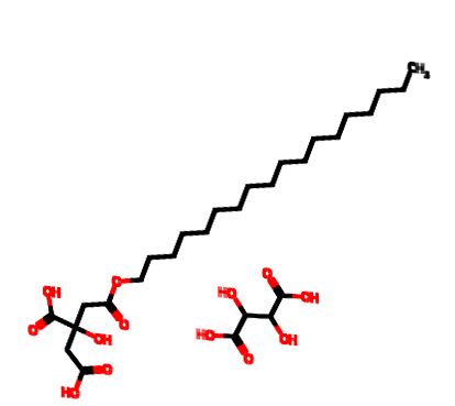 CCCCCCCCCCCCCCCCCCOC(=O)CC(O)(CC(=O)O)C(=O)O.O=C(O)C(O)C(O)C(=O)O